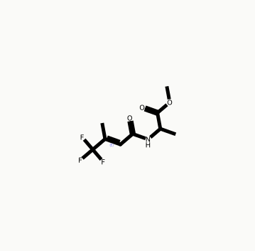 COC(=O)C(C)NC(=O)/C=C(\C)C(F)(F)F